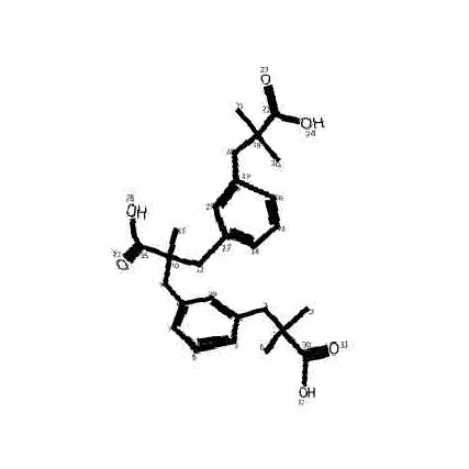 CC(C)(Cc1cccc(CC(C)(Cc2cccc(CC(C)(C)C(=O)O)c2)C(=O)O)c1)C(=O)O